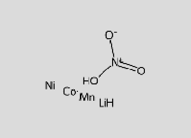 O=[N+]([O-])O.[Co].[LiH].[Mn].[Ni]